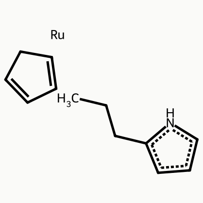 C1=CCC=C1.CCCc1ccc[nH]1.[Ru]